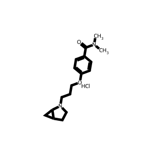 CN(C)C(=O)c1ccc(OCCCN2CCC3CC32)cc1.Cl